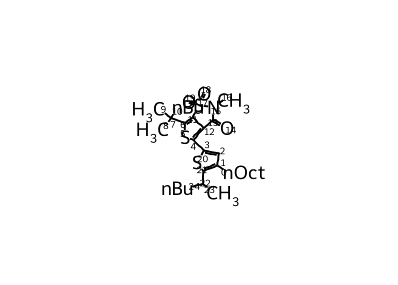 CCCCCCCCc1cc(-c2sc(C(C)(C)CCCC)c3c2C(=O)N(C)S3(=O)=O)sc1C(C)CCCC